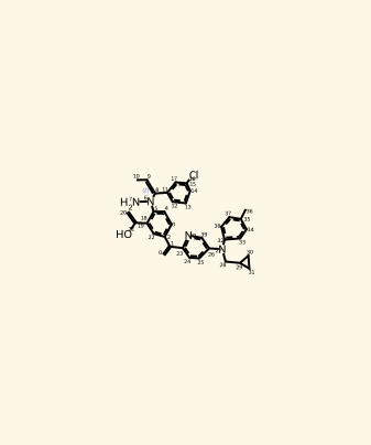 C=C(c1ccc(N(N)/C(=C\C)c2cccc(Cl)c2)c(C(=C)O)c1)c1ccc(N(CC2CC2)c2ccc(C)cc2)cn1